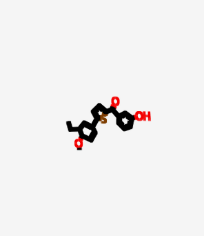 CCC1C=C(c2ccc(C(=O)c3cccc(O)c3)s2)C=CC1OC